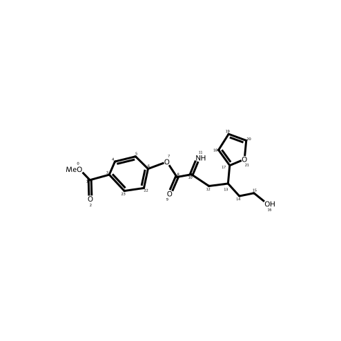 COC(=O)c1ccc(OC(=O)C(=N)CC(CCO)c2ccco2)cc1